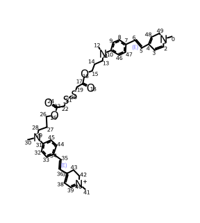 CN1C=CC(/C=C/c2ccc(N(C)CCCOC(=O)CSSCC(=O)OCCCN(C)c3ccc(/C=C/C4=CC=[N+](C)CC4)cc3)cc2)=CC1